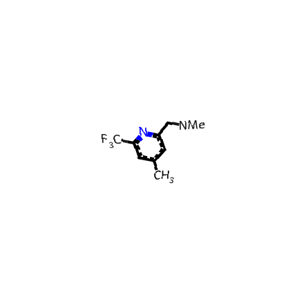 CNCc1cc(C)cc(C(F)(F)F)n1